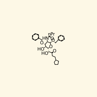 CCCC(=O)N[C@H]1C(OCc2ccccc2)O[C@H](C(O)C(=O)CCC2CCCC2)[C@@H](O)[C@@H]1OCc1ccccc1